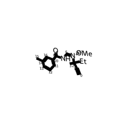 C#CC(C)(CC)[N+](=CNC(=O)c1cccc(C)c1)OC